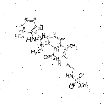 Cc1c(CC=CNS(C)(=O)=O)[nH]c(=O)c2c1ccc1nc(Nc3c(Cl)cccc3Cl)n(C)c12